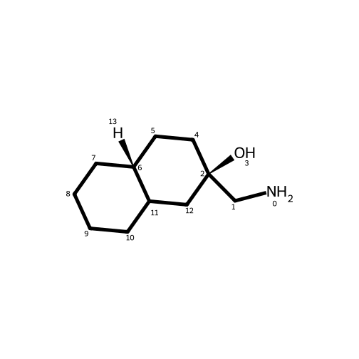 NC[C@@]1(O)CC[C@H]2CCCCC2C1